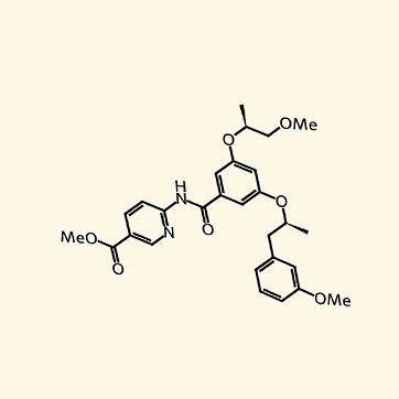 COC[C@H](C)Oc1cc(O[C@@H](C)Cc2cccc(OC)c2)cc(C(=O)Nc2ccc(C(=O)OC)cn2)c1